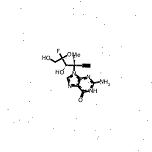 C#C[C@@](F)([C@H](O)C(F)(CO)OC)n1cnc2c(=O)[nH]c(N)nc21